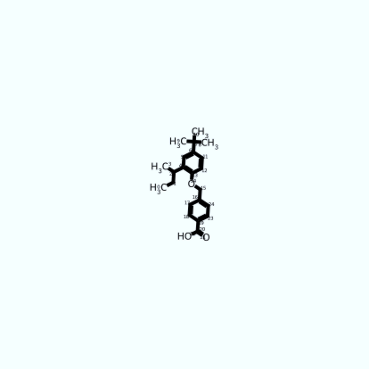 CCC(C)c1cc(C(C)(C)C)ccc1OCc1ccc(C(=O)O)cc1